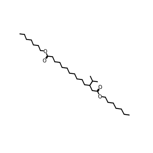 CCCCCCCOC(=O)CCCCCCCCCCC(CC(=O)OCCCCCCC)C(C)C